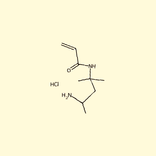 C=CC(=O)NC(C)(C)CC(C)N.Cl